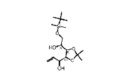 C=CC(O)[C@@H]1OC(C)(C)O[C@@H]1[C@@H](O)CO[Si](C)(C)C(C)(C)C